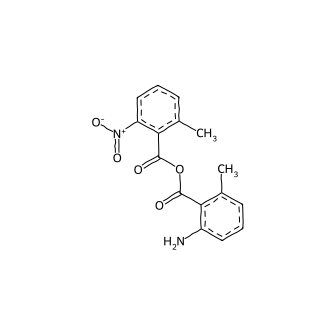 Cc1cccc(N)c1C(=O)OC(=O)c1c(C)cccc1[N+](=O)[O-]